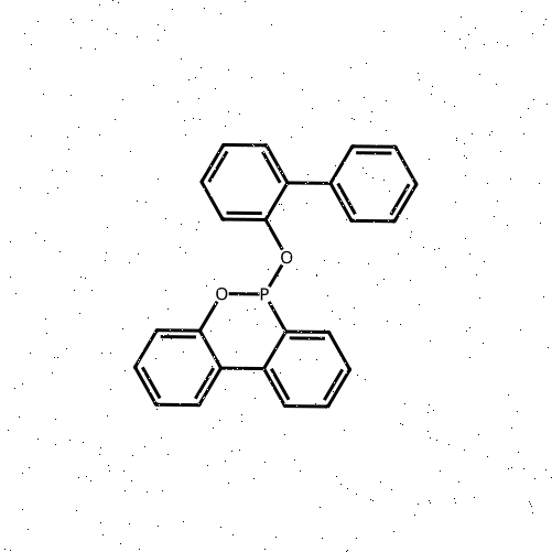 c1ccc(-c2ccccc2OP2Oc3ccccc3-c3ccccc32)cc1